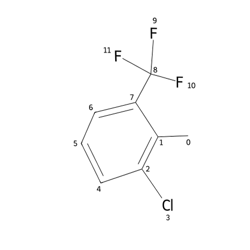 Cc1c(Cl)cccc1C(F)(F)F